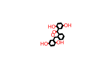 O=C(c1cc(O)ccc1O)c1ccccc1C(=O)c1cc(O)ccc1O